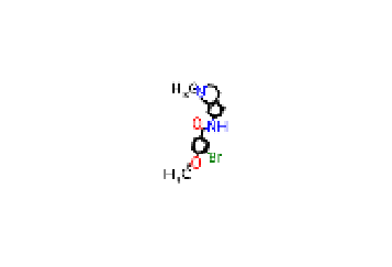 CCOc1ccc(C(=O)Nc2ccc3c(c2)CN(C)CCC3)cc1Br